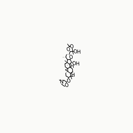 CC(=O)O[C@@H]([C@H]1C[C@@H](C)C2C(O1)[C@H](O)[C@@]1(C)[C@@H]3CC[C@H]4C(C)(C)[C@@H](O[C@H]5CN(C)CCO5)CC[C@@]45C[C@@]35CC[C@]21C)C(C)(C)O